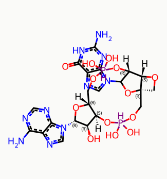 Nc1nc2c(ncn2C2O[C@@]34CO[C@H]3[C@H]2O[PH](O)(O)OC[C@H]2O[C@@H](n3cnc5c(N)ncnc53)[C@H](O)[C@@H]2O[PH](O)(O)OC4)c(=O)[nH]1